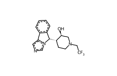 O[C@H]1CN(CC(F)(F)F)CC[C@@H]1C1c2ccccc2-c2cncn21